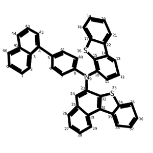 c1ccc2c(-c3ccc(N(c4cccc5c4sc4ccccc45)c4cc5ccccc5c5c4sc4ccccc45)cc3)cccc2c1